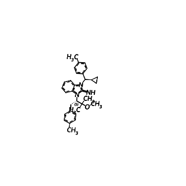 COC(C)(C)[C@H](Cc1ccc(C)cc1)n1c(=N)n(C(c2ccc(C)cc2)C2CC2)c2ccccc21